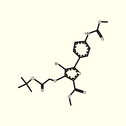 COC(=O)Nc1ccc(-c2sc(C(=O)OC)c(OCC(=O)OC(C)(C)C)c2Br)cc1